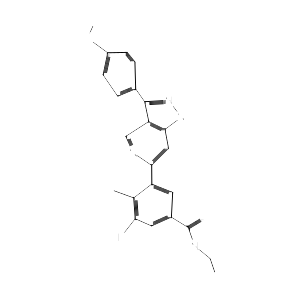 CCNC(=O)c1cc(F)c(C)c(-c2cc3[nH]nc(-c4ccc(OC)cc4)c3cn2)c1